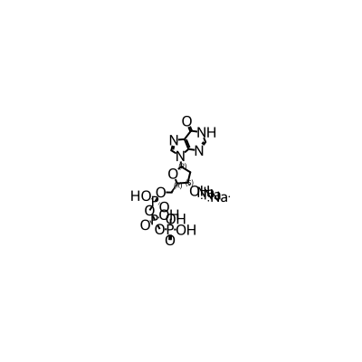 O=c1[nH]cnc2c1ncn2[C@H]1C[C@H](O)[C@@H](COP(=O)(O)OP(=O)(O)OP(=O)(O)O)O1.[Na].[Na].[Na]